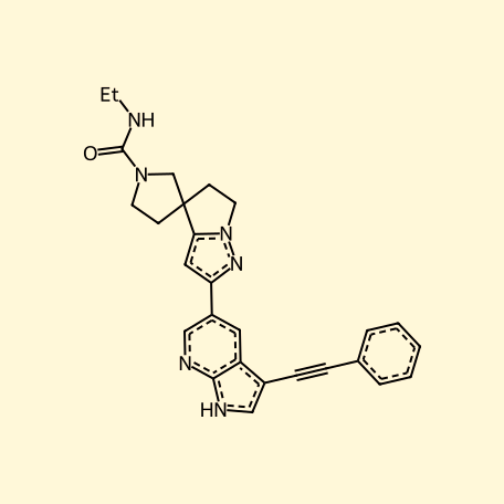 CCNC(=O)N1CCC2(CCn3nc(-c4cnc5[nH]cc(C#Cc6ccccc6)c5c4)cc32)C1